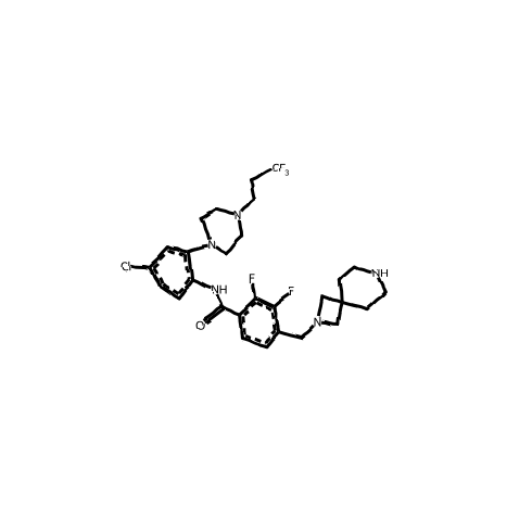 O=C(Nc1ccc(Cl)cc1N1CCN(CCC(F)(F)F)CC1)c1ccc(CN2CC3(CCNCC3)C2)c(F)c1F